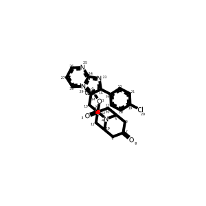 CC(C)(C)OC(=O)N1C2CC(=O)CC1CN(Cc1c(-c3ccc(Cl)cc3)nc3ncccn13)C2